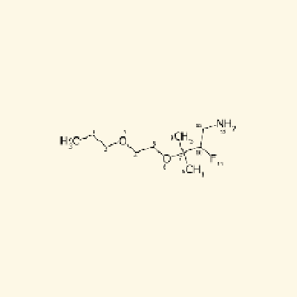 CCCOCCOC(C)(C)C(F)CN